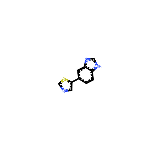 c1nc2cc(-c3cncs3)ccc2[nH]1